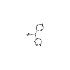 [CH2]CC[C](c1ccncc1)c1ccncc1